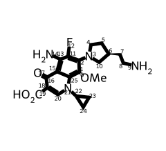 COc1c(N2CC[C@@H](CCN)C2)c(F)c(N)c2c(=O)c(C(=O)O)cn(C3CC3)c12